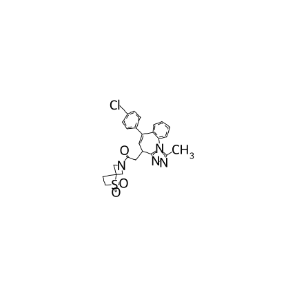 Cc1nnc2n1-c1ccccc1C(c1ccc(Cl)cc1)=CC2CC(=O)N1CC2(CCS2(=O)=O)C1